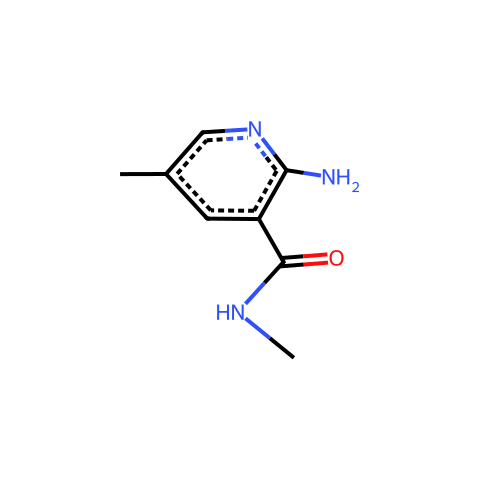 CNC(=O)c1cc(C)cnc1N